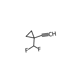 C#CC1(C(F)F)CC1